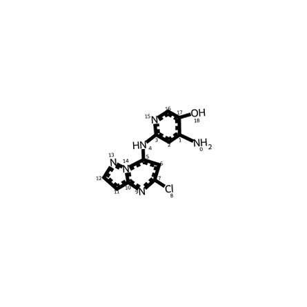 Nc1cc(Nc2cc(Cl)nc3ccnn23)ncc1O